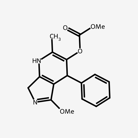 COC(=O)OC1=C(C)NC2=C(C(OC)=NC2)C1c1ccccc1